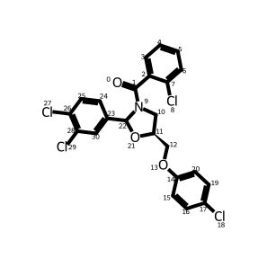 O=C(c1ccccc1Cl)N1C[C@@H](COc2ccc(Cl)cc2)OC1c1ccc(Cl)c(Cl)c1